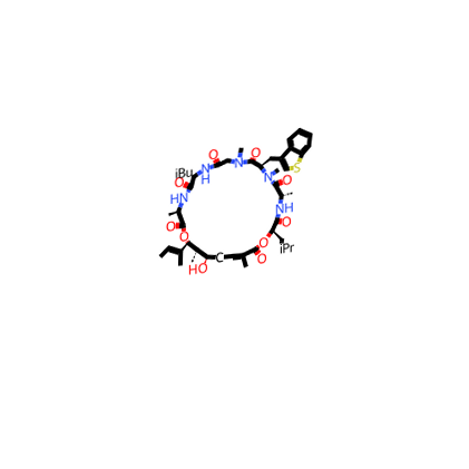 C/C=C(\C)[C@H]1OC(=O)[C@@H](C)NC(=O)[C@H](C(C)CC)NC(=O)CN(C)C(=O)[C@@H](Cc2csc3ccccc23)N(C)C(=O)[C@H](C)NC(=O)[C@@H](CC(C)C)OC(=O)/C(C)=C/C[C@H](O)[C@@H]1C